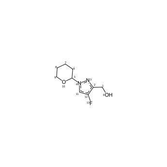 OCc1nn(C2CCCCO2)cc1F